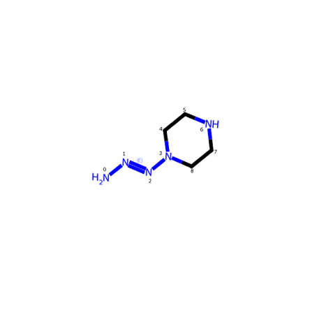 N/N=N/N1CCNCC1